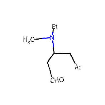 CCN(C)C(CC=O)CC(C)=O